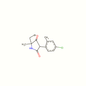 Cc1cc(Cl)ccc1C1C(=O)NC(C)(CC(C)C)C1=O